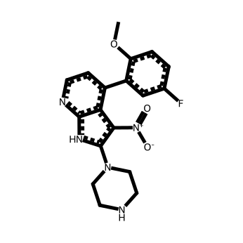 COc1ccc(F)cc1-c1ccnc2[nH]c(N3CCNCC3)c([N+](=O)[O-])c12